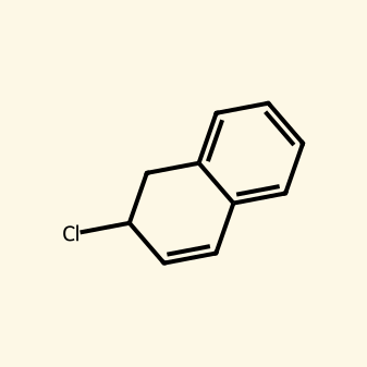 ClC1C=Cc2ccccc2C1